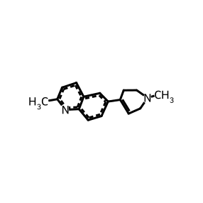 Cc1ccc2cc(C3=CCN(C)CC3)ccc2n1